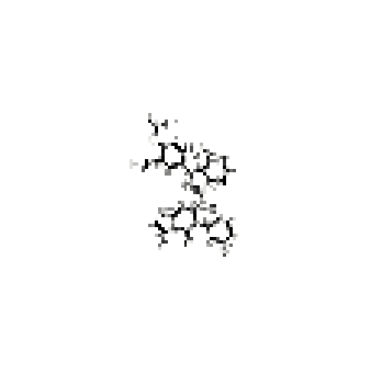 CC(F)Oc1ccc(-c2nn([C@@H](C)c3cc4scc(Cl)n4c(=O)c3-c3cccc(F)c3)c3ncnc(N)c23)cc1P